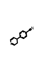 N#Cc1ccc(C2C=CI=CC2)cc1